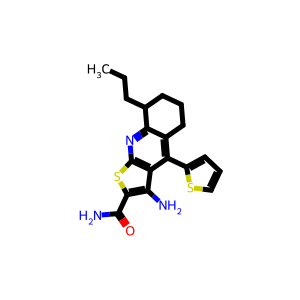 CCCC1CCCc2c1nc1sc(C(N)=O)c(N)c1c2-c1cccs1